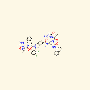 CN[C@@H](C)C(=O)N[C@H](C(=O)N1C[C@@H](NC(=O)c2ccc(CN(C(=O)[C@@H]3Cc4ccccc4CN3C(=O)[C@@H](NC(=O)[C@H](C)NC)C(C)(C)C)[C@H](C)c3cccc(F)c3F)cc2)C[C@H]1C(=O)N[C@@H]1CCCc2ccccc21)C(C)(C)C